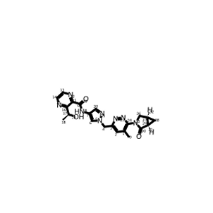 Cc1cc(Cn2cc(NC(=O)c3nccnc3[C@H](C)O)cn2)nnc1N1C[C@H]2C[C@H]2C1=O